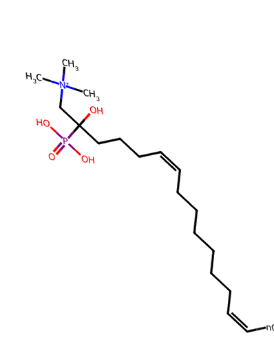 CCCCCCCC/C=C\CCCCCC/C=C\CCCC(O)(C[N+](C)(C)C)P(=O)(O)O